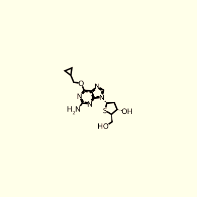 Nc1nc(OCC2CC2)c2ncn([C@@H]3C[C@H](O)[C@@H](CO)S3)c2n1